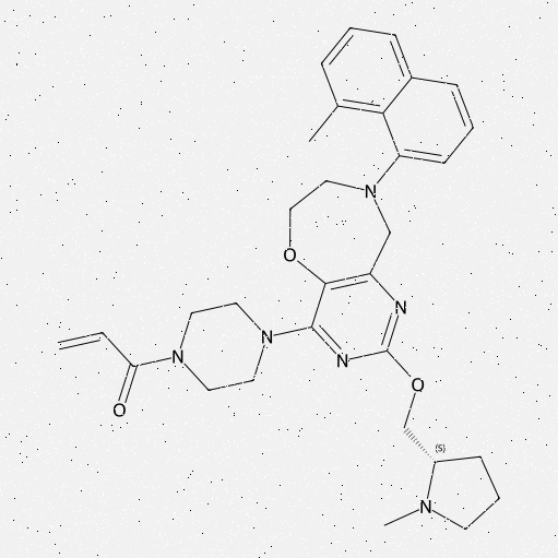 C=CC(=O)N1CCN(c2nc(OC[C@@H]3CCCN3C)nc3c2OCCN(c2cccc4cccc(C)c24)C3)CC1